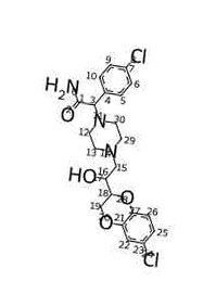 NC(=O)C(c1ccc(Cl)cc1)N1CCN(CC(O)C2COc3cc(Cl)ccc3O2)CC1